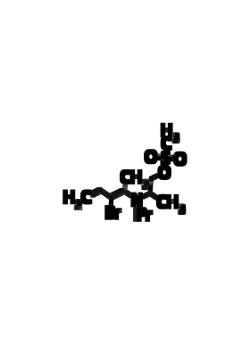 C=C/C(Br)=C(\C)N(C(C)C)C(C)COS(C)(=O)=O